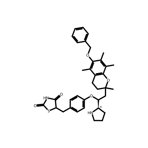 Cc1c(C)c2c(c(C)c1OCc1ccccc1)CCC(C)(CC(Oc1ccc(CC3SC(=O)NC3=O)cc1)[C@H]1CCCN1)O2